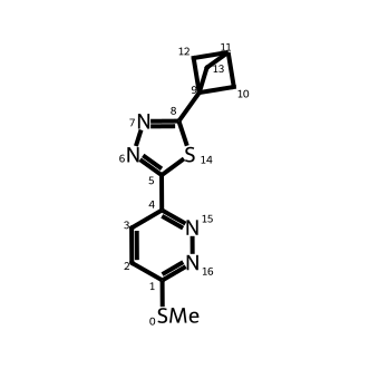 CSc1ccc(-c2nnc(C34CC(C3)C4)s2)nn1